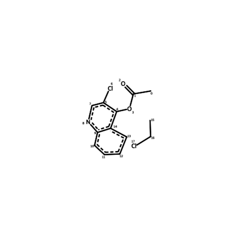 CC(=O)Oc1c(Cl)cnc2ccccc12.CCCl